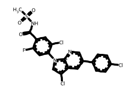 CS(=O)(=O)NC(=O)c1cc(Cl)c(-n2cc(Cl)c3cc(-c4ccc(Cl)cc4)cnc32)cc1F